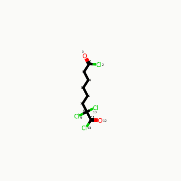 O=C(Cl)CCCCCC(Cl)(Cl)C(=O)Cl